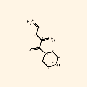 C=CCC(=C)C(=O)N1CCNCC1